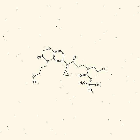 CCCN(CCC(=O)N(c1ccc2c(c1)N(CCCOC)C(=O)CO2)C1CC1)C(=O)OC(C)(C)C